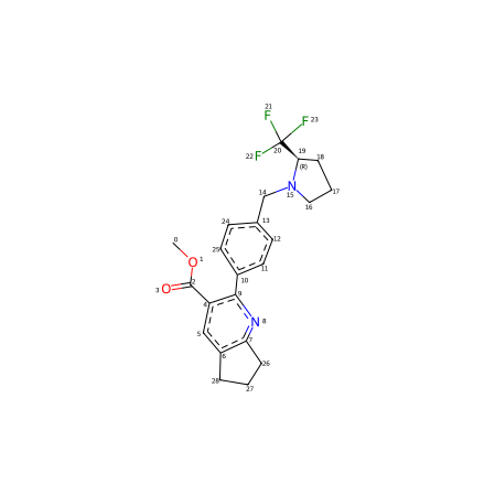 COC(=O)c1cc2c(nc1-c1ccc(CN3CCC[C@@H]3C(F)(F)F)cc1)CCC2